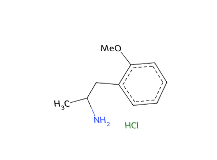 COc1ccccc1CC(C)N.Cl